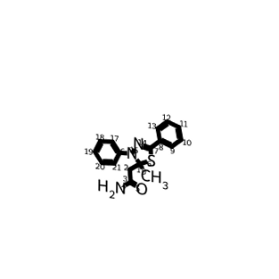 CC1(CC(N)=O)SC(c2ccccc2)=NN1c1ccccc1